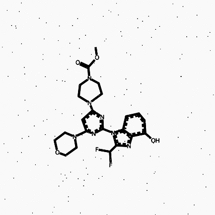 COC(=O)N1CCN(c2cc(N3CCOCC3)nc(-n3c(C(F)F)nc4c(O)cccc43)n2)CC1